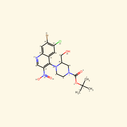 CC(C)(C)OC(=O)N1CCN(c2c([N+](=O)[O-])cnc3cc(Br)c(Cl)cc23)C(CO)C1